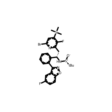 CC(C)(C)[S@+]([O-])N[C@@H](Cc1nc(Br)cc([Si](C)(C)C)c1F)c1ccccc1-c1noc2ccc(F)cc12